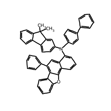 CC1(C)c2ccccc2-c2ccc(N(c3ccc(-c4ccccc4)cc3)c3cccc4c3cc(-c3ccccc3)c3c5ccccc5oc43)cc21